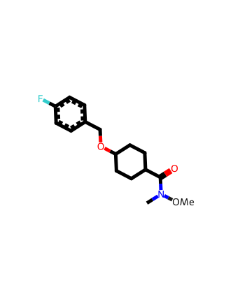 CON(C)C(=O)C1CCC(OCc2ccc(F)cc2)CC1